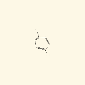 Cc1[c]cc(Cl)[c]c1